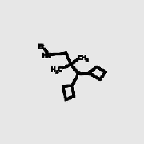 CCNCC(C)(C)P(C1CCC1)C1CCC1